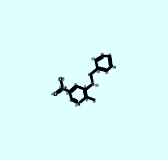 Cc1ncc([N+](=O)[O-])cc1SCc1ccccc1